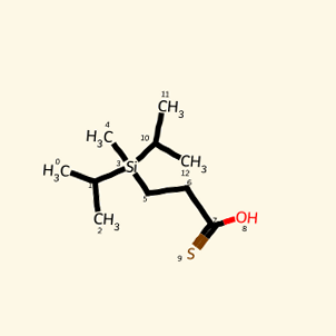 CC(C)[Si](C)(CCC(O)=S)C(C)C